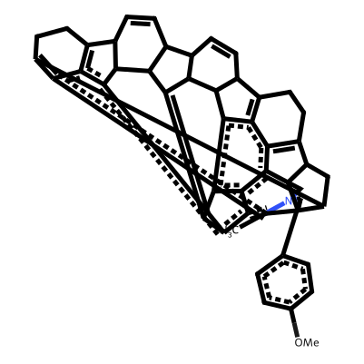 COc1ccc(C2N(C)CC34c5c6c7c8c9c5=C5CCC=9C9C=CC%10C%11C=CC%12C%13=c%14c%15c(c-6c6c%14=C(CC%13)C(CC53)C624)C7=C(C%10C89)C%11C%15%12)cc1